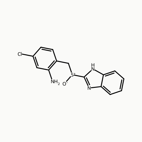 Nc1cc(Cl)ccc1C[S+]([O-])c1nc2ccccc2[nH]1